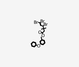 CC(C)(CC(=O)OCc1cccc(Oc2ccccc2)c1)C(Br)C=C(Br)Br